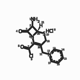 Cl.NC1C(=O)N2C(C(=O)Cl)=C(C[n+]3ccccc3)CS[C@H]12